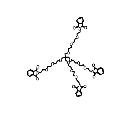 O=C1c2ccccc2C(=O)N1CCOCCOCCOCC(COCCOCCOCCN1C(=O)c2ccccc2C1=O)(COCCOCCOCCN1C(=O)c2ccccc2C1=O)COCCOCCOCCN1C(=O)c2ccccc2C1=O